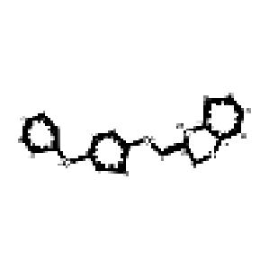 C(Oc1ccc(Oc2ccccc2)cc1)=C1COc2ccccc2O1